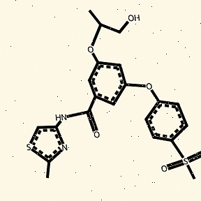 Cc1nc(NC(=O)c2cc(Oc3ccc(S(C)(=O)=O)cc3)cc(OC(C)CO)c2)cs1